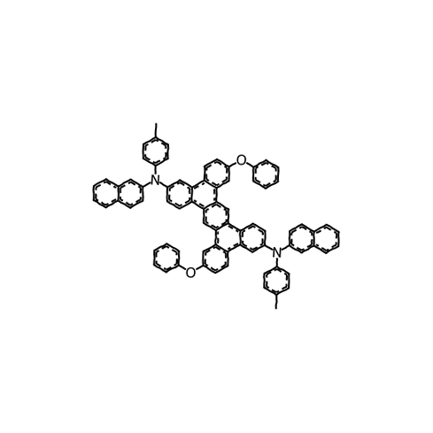 Cc1ccc(N(c2ccc3ccccc3c2)c2ccc3c(c2)c2ccc(Oc4ccccc4)cc2c2cc4c5ccc(N(c6ccc(C)cc6)c6ccc7ccccc7c6)cc5c5ccc(Oc6ccccc6)cc5c4cc32)cc1